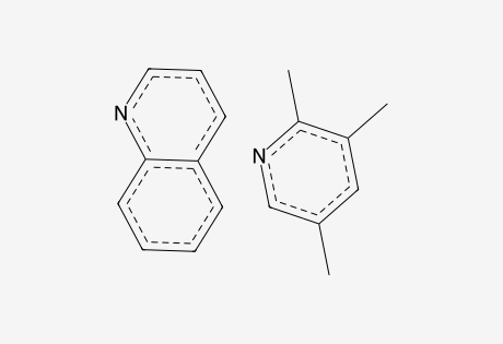 Cc1cnc(C)c(C)c1.c1ccc2ncccc2c1